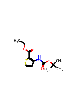 CCOC(=O)c1sccc1NC(=O)OC(C)(C)C